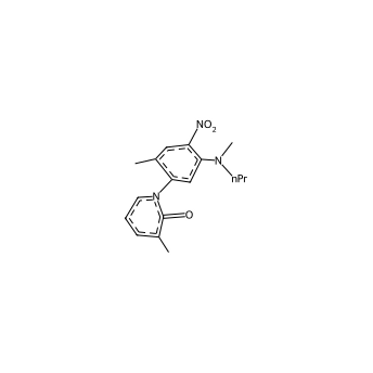 CCCN(C)c1cc(-n2cccc(C)c2=O)c(C)cc1[N+](=O)[O-]